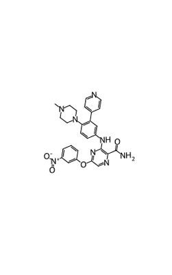 CN1CCN(c2ccc(Nc3nc(Oc4cccc([N+](=O)[O-])c4)cnc3C(N)=O)cc2-c2ccncc2)CC1